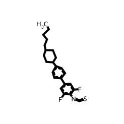 CCCCCC1CCC(c2ccc(-c3cc(F)c(N=C=S)c(F)c3)cc2)CC1